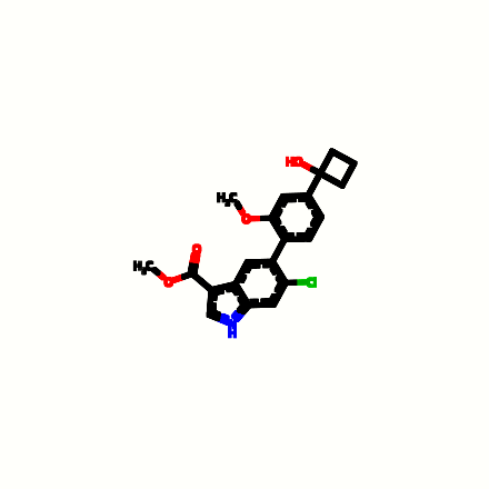 COC(=O)c1c[nH]c2cc(Cl)c(-c3ccc(C4(O)CCC4)cc3OC)cc12